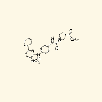 COC(=O)C1CCN(C(=O)Nc2ccc(Nc3nc(-c4ccccc4)ccc3[N+](=O)[O-])cc2)C1